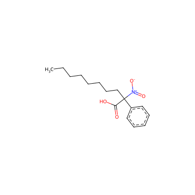 CCCCCCCCC(C(=O)O)(c1ccccc1)[N+](=O)[O-]